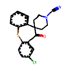 N#CN1CCC2(CC1)C(=O)c1cc(Cl)ccc1Sc1ccccc12